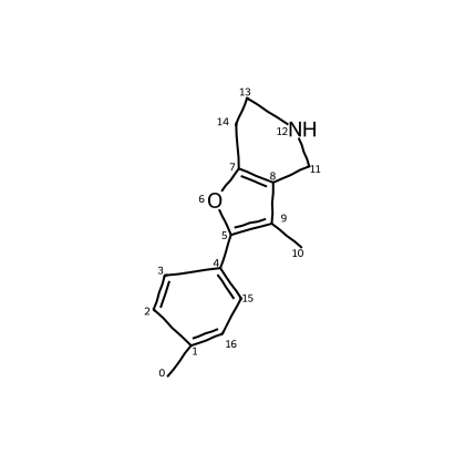 Cc1ccc(-c2oc3c(c2C)CNCC3)cc1